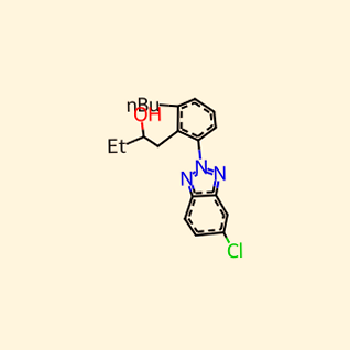 CCCCc1cccc(-n2nc3ccc(Cl)cc3n2)c1CC(O)CC